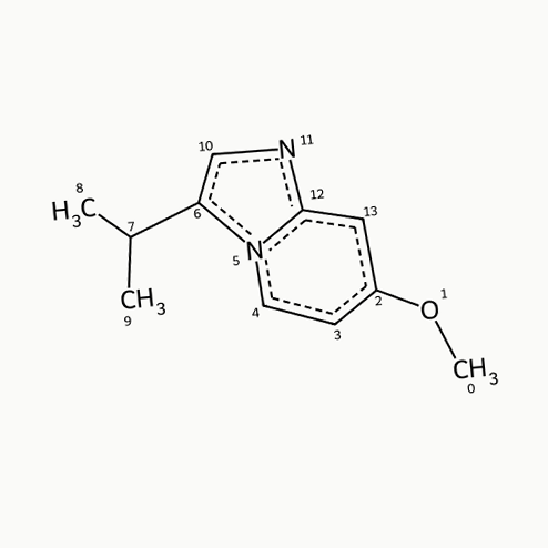 COc1ccn2c(C(C)C)cnc2c1